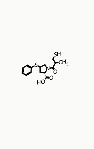 CC(CS)C(=O)N1CC(Sc2ccccc2)C[C@H]1C(=O)O